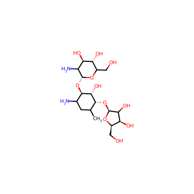 CC1CC(N)[C@@H](O[C@H]2OC(CO)[C@@H](O)[C@H](O)C2N)[C@H](O)[C@@H]1O[C@@H]1O[C@H](CO)[C@H](O)C1O